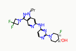 CC(C)n1nc(N2CC(F)(F)C2)c2cnc(Nc3ccnc(N4CC[C@@H](O)[C@@H](F)C4)n3)cc21